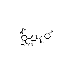 CCOc1cc(-c2ccc(N(CC)CC3CCCN(C(C)C)C3)nc2)c2c(C#N)cnn2c1